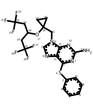 Nc1nc(Sc2ccccc2)c2ncn(CC3(O[C](CC(F)(F)F)CC(F)(F)F)CC3)c2n1